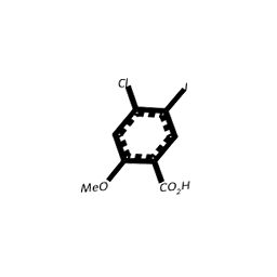 COc1cc(Cl)c(I)cc1C(=O)O